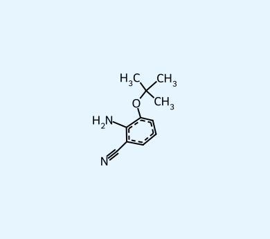 CC(C)(C)Oc1cccc(C#N)c1N